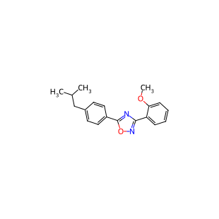 COc1ccccc1-c1noc(-c2ccc(CC(C)C)cc2)n1